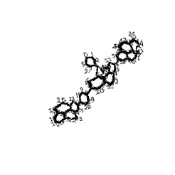 c1ccc(-n2c3cc(-c4ccc(-c5cc6ccc7cccc8ccc(c5)c6c78)cc4)cc4ccc5cc(-c6cc7ccc8cccc9ccc(c6)c7c89)cc2c5c43)cc1